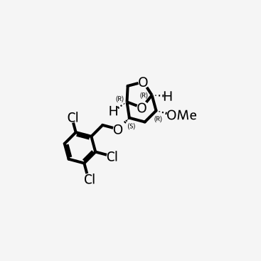 CO[C@@H]1C[C@H](OCc2c(Cl)ccc(Cl)c2Cl)[C@H]2CO[C@@H]1O2